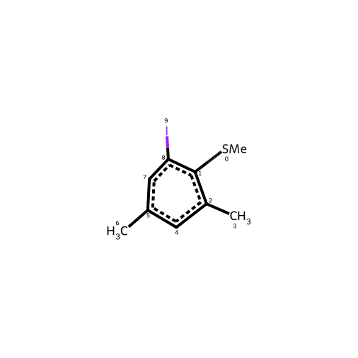 CSc1c(C)cc(C)cc1I